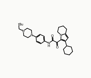 CC(C)(C)CN1CCN(c2ccc(NC(=O)C(=O)c3c(C4CCCCC4)cc4n3CCCC4)cc2)CC1